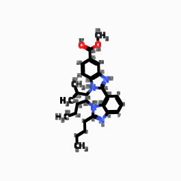 CCCCc1nc2cccc(-c3nc4cc(C(=O)OC)ccc4n3CC(C)C)c2n1CCCC